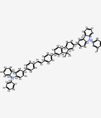 Cc1cc(C)cc(-n2c3ccccc3c3cc(-c4ccc5c(c4)C(C)(C)c4cc(-c6ccc(/C=C/c7ccc(-c8ccc9c(c8)c8ccccc8n9-c8ccccc8)cc7)cc6)ccc4-5)ccc32)c1